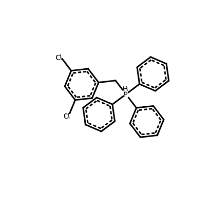 Clc1cc(Cl)cc(C[PH](c2ccccc2)(c2ccccc2)c2ccccc2)c1